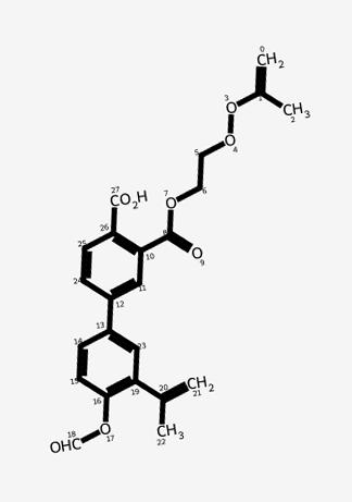 C=C(C)OOCCOC(=O)c1cc(-c2ccc(OC=O)c(C(=C)C)c2)ccc1C(=O)O